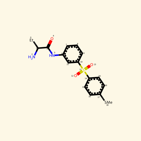 CCC(N)C(=O)Nc1cccc(S(=O)(=O)c2ccc(SC)cc2)c1